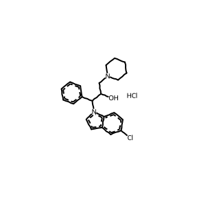 Cl.OC(CN1CCCCC1)C(c1ccccc1)n1ccc2cc(Cl)ccc21